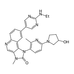 CCNc1ncc(-c2ccc3ncc4c(c3c2)n(-c2ccc(N3CCC(O)C3)nc2C)c(=O)n4C)cn1